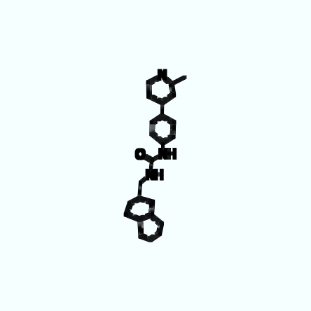 Cc1cc(-c2ccc(NC(=O)NCc3ccc4ccccc4c3)cc2)ccn1